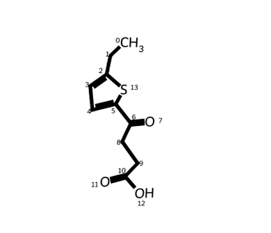 CCc1ccc(C(=O)CCC(=O)O)s1